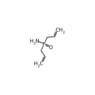 C=CCP(N)(=O)CC=C